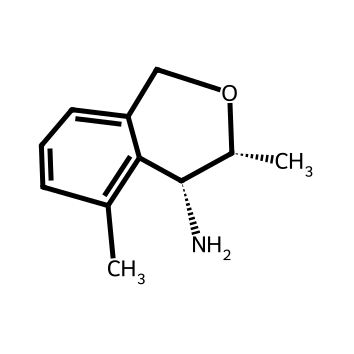 Cc1cccc2c1[C@@H](N)[C@@H](C)OC2